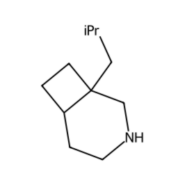 CC(C)CC12CCC1CCNC2